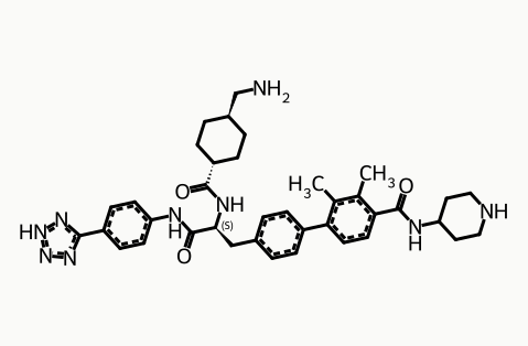 Cc1c(C(=O)NC2CCNCC2)ccc(-c2ccc(C[C@H](NC(=O)[C@H]3CC[C@H](CN)CC3)C(=O)Nc3ccc(-c4nn[nH]n4)cc3)cc2)c1C